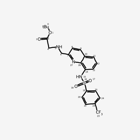 CC(C)(C)OC(=O)CNCc1ccc2cccc(NS(=O)(=O)c3ccc(C(F)(F)F)cc3)c2n1